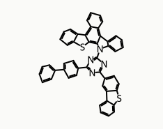 c1ccc(-c2ccc(-c3nc(-c4ccc5sc6ccccc6c5c4)nc(-n4c5ccccc5c5c6ccccc6c6c7ccccc7sc6c54)n3)cc2)cc1